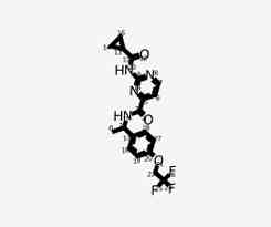 CC(NC(=O)c1ccnc(NC(=O)C2CC2)n1)c1ccc(OCC(F)(F)F)cc1